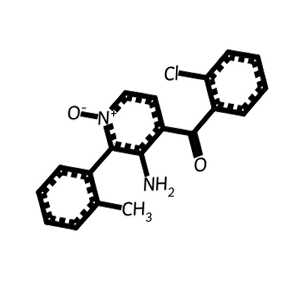 Cc1ccccc1-c1c(N)c(C(=O)c2ccccc2Cl)cc[n+]1[O-]